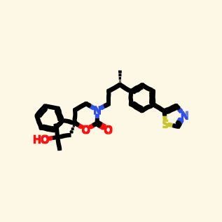 C[C@@H](CCN1CC[C@](CC(C)(C)O)(c2ccccc2)OC1=O)c1ccc(-c2cncs2)cc1